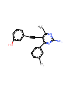 Cc1nc(N)nc(-c2cccc(C(F)(F)F)c2)c1C#Cc1cccc(O)c1